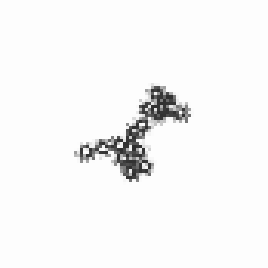 c1ccc(-c2ccc(-c3ccc(N(c4ccc5cc(-c6ccc7c(c6)C6(c8ccccc8-7)c7ccccc7-n7c8ccccc8c8cccc6c87)ccc5c4)c4cccc5c4-c4ccccc4C5(c4ccccc4)c4ccccc4)cc3)cc2)cc1